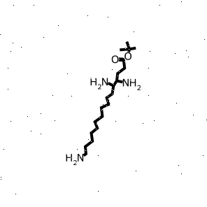 CC(C)(C)OC(=O)CCC(N)C(N)CCCCCCCCCCCN